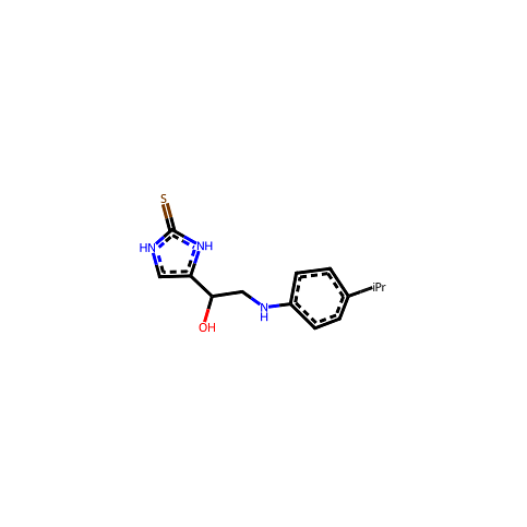 CC(C)c1ccc(NCC(O)c2c[nH]c(=S)[nH]2)cc1